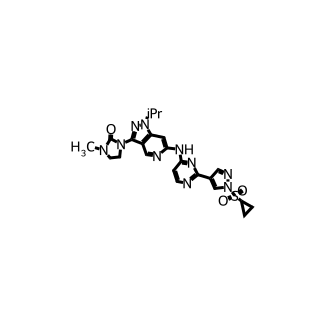 CC(C)n1nc(N2CCN(C)C2=O)c2cnc(Nc3ccnc(-c4cnn(S(=O)(=O)C5CC5)c4)n3)cc21